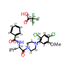 COc1cc(N2CCN(C(=O)[C@H](NC(=O)c3ccccc3)C(C)C)CC2)c(Cl)cc1Cl.O=C(O)C(F)(F)F